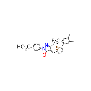 Cc1cc(-c2ccc(C=C3C(=O)N(c4ccc(C(=O)O)cc4)N=C3C3CC3)s2)c(C(F)(F)F)cc1C